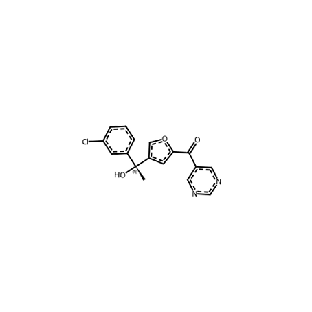 C[C@@](O)(c1cccc(Cl)c1)c1coc(C(=O)c2cncnc2)c1